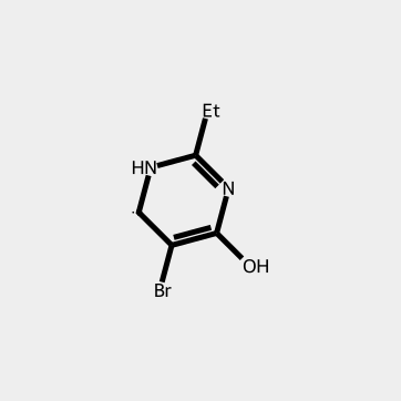 CCC1=NC(O)=C(Br)[CH]N1